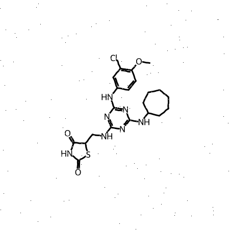 COc1ccc(Nc2nc(NCC3SC(=O)NC3=O)nc(NC3CCCCCC3)n2)cc1Cl